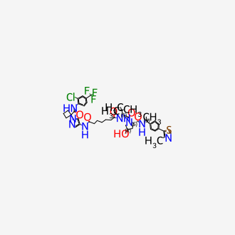 Cc1ncsc1-c1ccc([C@H](C)NC(=O)[C@@H]2C[C@@H](O)CN2C(=O)[C@@H](NC(=O)CCCCCC(=O)Nc2cnn(C3(C(=O)Nc4ccc(C(F)(F)F)cc4Cl)CCC3)c2)C(C)(C)C)cc1